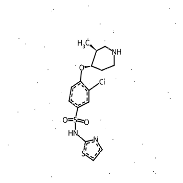 C[C@H]1CNCC[C@H]1Oc1ccc(S(=O)(=O)Nc2nccs2)cc1Cl